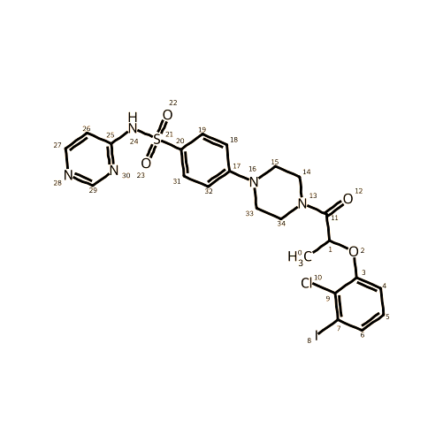 CC(Oc1cccc(I)c1Cl)C(=O)N1CCN(c2ccc(S(=O)(=O)Nc3ccncn3)cc2)CC1